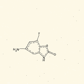 Nc1cc(F)c2oc(=O)[nH]c2c1